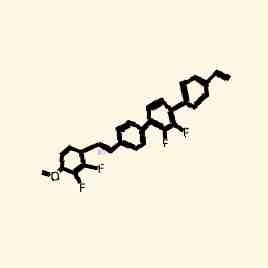 C=Cc1ccc(-c2ccc(-c3ccc(/C=C/C4CCC(OC)C(F)=C4F)cc3)c(F)c2F)cc1